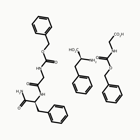 NC(=O)[C@H](Cc1ccccc1)NC(=O)CNC(=O)OCc1ccccc1.N[C@@H](Cc1ccccc1)C(=O)O.O=C(O)CNC(=O)OCc1ccccc1